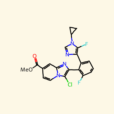 COC(=O)c1ccn2c(Cl)c(-c3c(F)cccc3-c3ncn(C4CC4)c3F)nc2c1